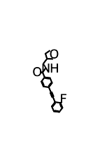 O=C(NCC1CCOC1)c1ccc(C#Cc2ccccc2F)cc1